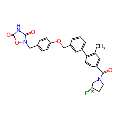 Cc1cc(C(=O)N2CC[C@@H](F)C2)ccc1-c1cccc(COc2ccc(Cn3oc(=O)[nH]c3=O)cc2)c1